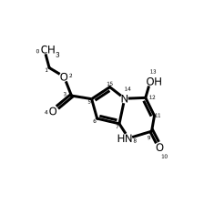 CCOC(=O)c1cc2[nH]c(=O)cc(O)n2c1